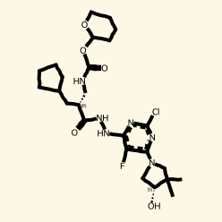 CC1(C)CN(c2nc(Cl)nc(NNC(=O)[C@@H](CNC(=O)OC3CCCCO3)CC3CCCC3)c2F)C[C@H]1O